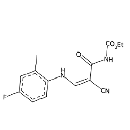 CCOC(=O)NC(=O)C(C#N)=CNc1ccc(F)cc1C